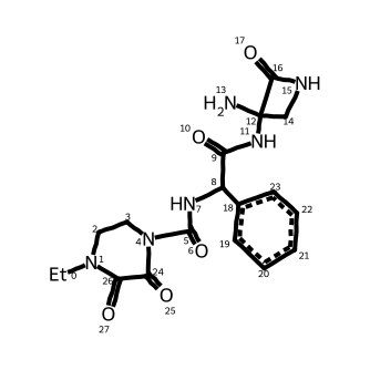 CCN1CCN(C(=O)NC(C(=O)NC2(N)CNC2=O)c2ccccc2)C(=O)C1=O